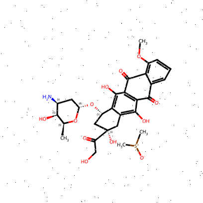 COc1cccc2c1C(=O)c1c(O)c3c(c(O)c1C2=O)C[C@@](O)(C(=O)CO)C[C@@H]3O[C@H]1C[C@H](N)[C@H](O)[C@H](C)O1.C[S+](C)[O-]